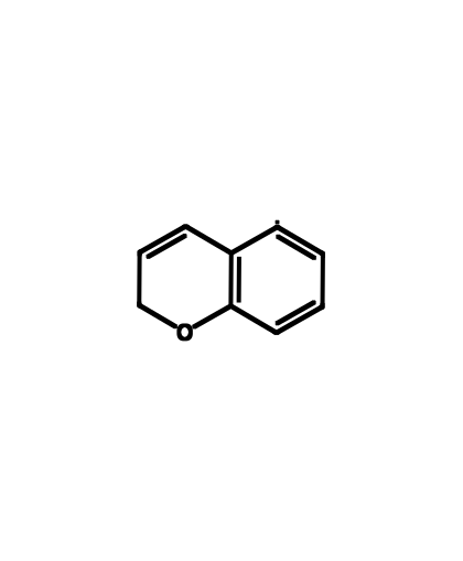 [c]1cccc2c1C=CCO2